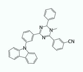 CN1C(c2cccc(C#N)c2)=NC(c2cccc(-n3c4ccccc4c4ccccc43)c2)=NC1c1ccccc1